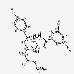 COC[C@H](C)N/C(=N/C(=O)c1ccc(F)cc1)NC1CC(c2cc(F)cc(F)c2)NN1